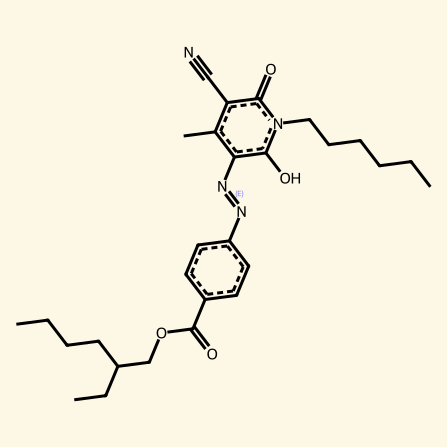 CCCCCCn1c(O)c(/N=N/c2ccc(C(=O)OCC(CC)CCCC)cc2)c(C)c(C#N)c1=O